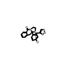 O=C(c1csnn1)N1CCN2C(=O)c3ccccc3CC12c1ccc(Cl)cc1